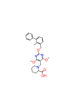 COc1nc(OCc2cccc(-c3ccccc3)c2C)nc(OC)c1CN1CCCCC1C(=O)O